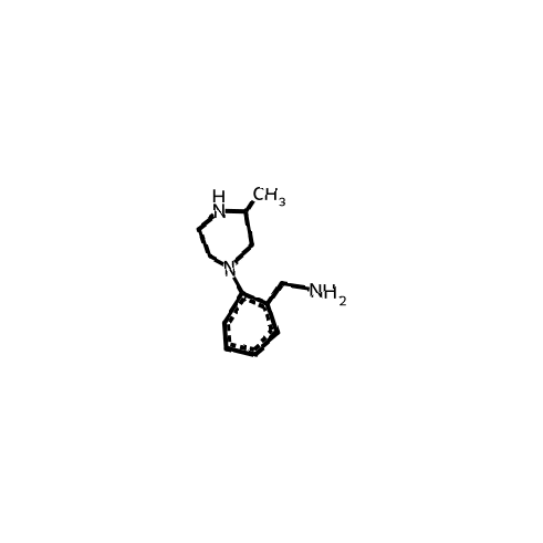 CC1CN(c2ccccc2CN)CCN1